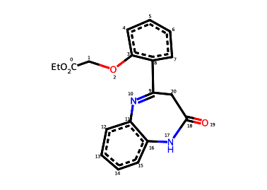 CCOC(=O)COc1ccccc1C1=Nc2ccccc2NC(=O)C1